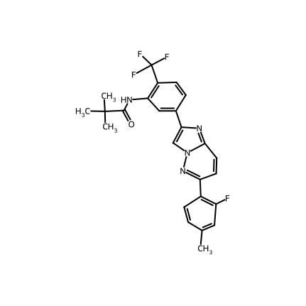 Cc1ccc(-c2ccc3nc(-c4ccc(C(F)(F)F)c(NC(=O)C(C)(C)C)c4)cn3n2)c(F)c1